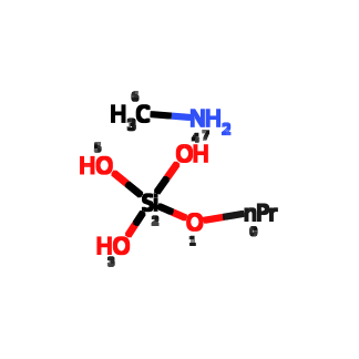 CCCO[Si](O)(O)O.CN